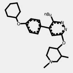 CCCCc1nnc(OC2CCN(C)CC2C)cc1-c1ccc(OC2CCCCC2)cc1